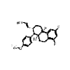 CCC/C=C/[C@@H]1CC[C@H]2c3cc(F)cc(F)c3CC[C@@H]2[C@H]1c1ccc(OC(F)(F)F)cc1